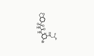 O=C(Nc1cc(Br)cc(NCC(F)F)n1)NS(=O)(=O)c1ccc2c(c1)CCO2